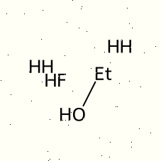 CCO.F.[HH].[HH]